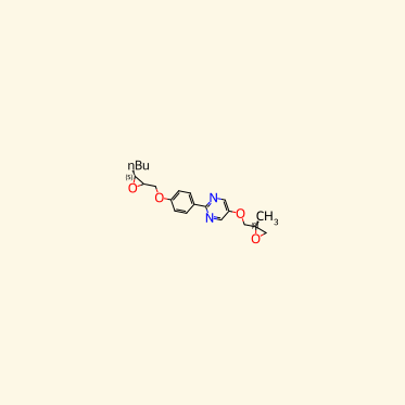 CCCC[C@@H]1OC1COc1ccc(-c2ncc(OC[C@]3(C)CO3)cn2)cc1